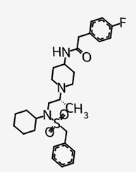 C[C@H](CN(C1CCCCC1)S(=O)(=O)Cc1ccccc1)N1CCC(NC(=O)Cc2ccc(F)cc2)CC1